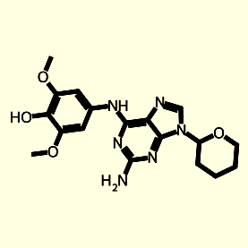 COc1cc(Nc2nc(N)nc3c2ncn3C2CCCCO2)cc(OC)c1O